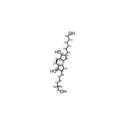 CC(C)(CO)CCCCC1CCC(/C=C\C2CCC(CCCCCCO)C2O)C1O